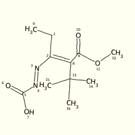 CCC(N=NC(=O)O)=C(C(=O)OC)C(C)(C)C